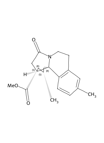 COC(=O)[C@@H]1[C@@H](C)C[C@@]23c4ccc(C)cc4CCN2C(=O)C[C@@H]13